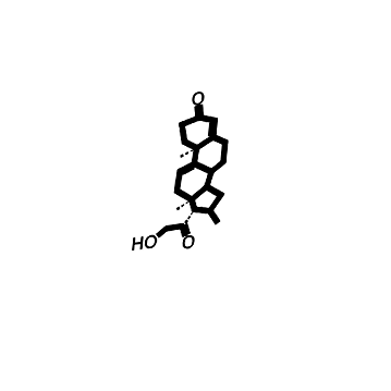 CC1CC2C3CCC4=CC(=O)CC[C@]4(C)C3=CC[C@]2(C)[C@H]1C(=O)CO